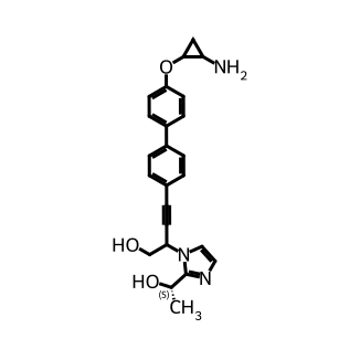 C[C@H](O)c1nccn1C(C#Cc1ccc(-c2ccc(OC3CC3N)cc2)cc1)CO